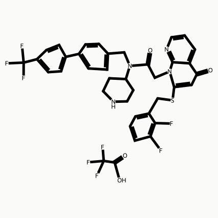 O=C(Cn1c(SCc2cccc(F)c2F)cc(=O)c2cccnc21)N(Cc1ccc(-c2ccc(C(F)(F)F)cc2)cc1)C1CCNCC1.O=C(O)C(F)(F)F